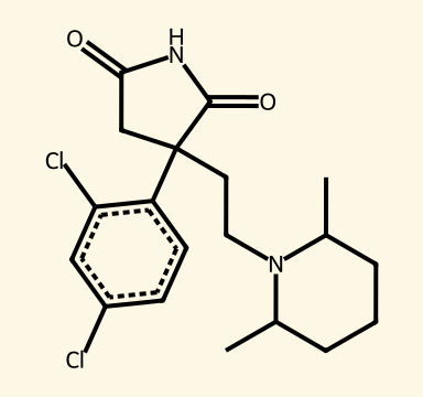 CC1CCCC(C)N1CCC1(c2ccc(Cl)cc2Cl)CC(=O)NC1=O